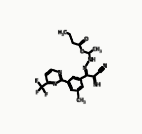 CCCC(=O)OC(C)N/N=C(\C(=N)C#N)c1cc(C)cc(-c2nccc(C(F)(F)F)n2)c1